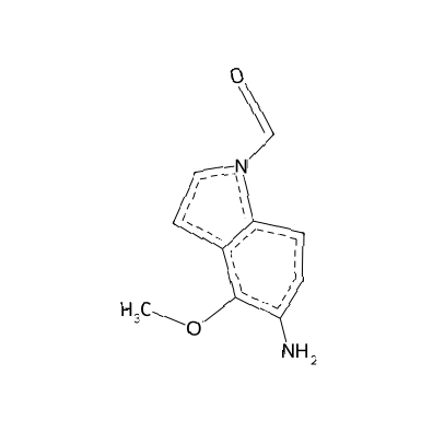 COc1c(N)ccc2c1ccn2C=O